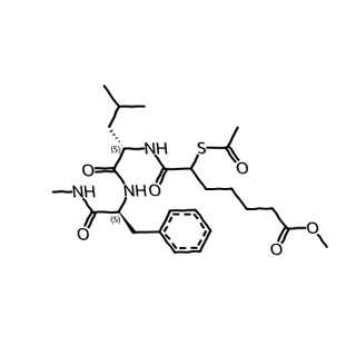 CNC(=O)[C@H](Cc1ccccc1)NC(=O)[C@H](CC(C)C)NC(=O)C(CCCCC(=O)OC)SC(C)=O